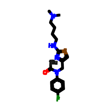 CN(C)CCCCNc1nc(CN(C(=O)C(C)(C)C)c2ccc(F)cc2)cs1